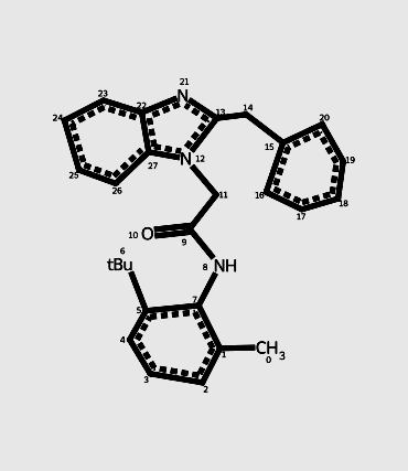 Cc1cccc(C(C)(C)C)c1NC(=O)Cn1c(Cc2ccccc2)nc2ccccc21